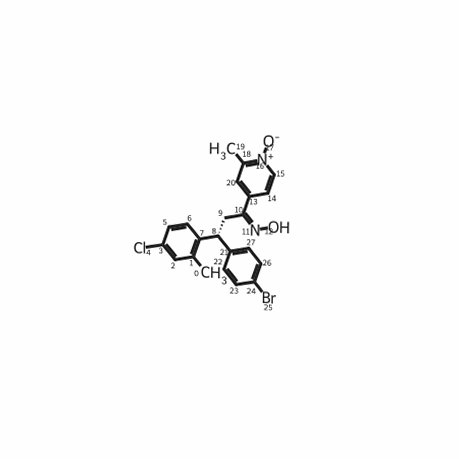 Cc1cc(Cl)ccc1[C@H](CC(=NO)c1cc[n+]([O-])c(C)c1)c1ccc(Br)cc1